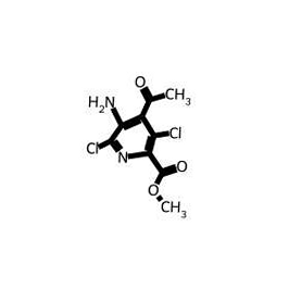 COC(=O)c1nc(Cl)c(N)c(C(C)=O)c1Cl